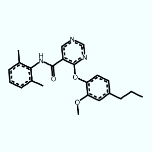 CCCc1ccc(Oc2ncncc2C(=O)Nc2c(C)cccc2C)c(OC)c1